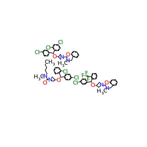 CCCCCN(C)C(=O)N1CC(OC(c2ccc(Cl)cc2)c2ccccc2Cl)C1.CN(Cc1ccccc1)C(=O)N1CC(OC(c2ccc(Cl)cc2)c2ccc(Cl)cc2Cl)C1.CN(Cc1ccccc1)C(=O)N1CC(OC(c2ccc(Cl)cc2)c2ccccc2C(F)(F)F)C1